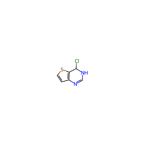 ClC1NC=Nc2ccsc21